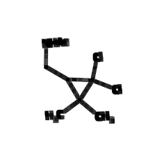 CC(=O)NCC1C(C)(C)C1(Cl)Cl